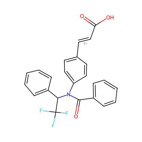 O=C(O)/C=C/c1ccc(N(C(=O)c2ccccc2)C(c2ccccc2)C(F)(F)F)cc1